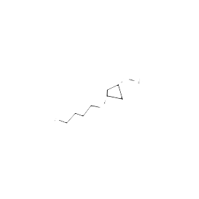 CCCCO[C@H]1C[C@@H](OCCCCBr)C1